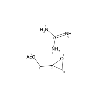 CC(=O)OCC1CO1.N=C(N)N